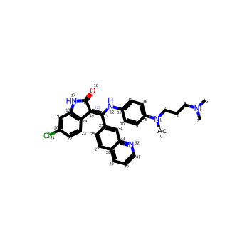 CC(=O)N(CCCN(C)C)c1ccc(N/C(=C2\C(=O)Nc3cc(Cl)ccc32)c2ccc3cccnc3c2)cc1